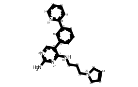 Nc1ncc(-c2cccc(-c3ccccn3)c2)c(NCCCN2CC=CC2)n1